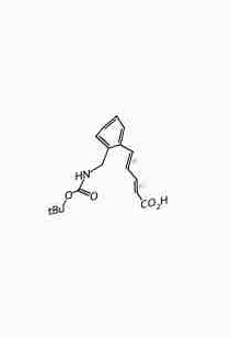 CC(C)(C)OC(=O)NCc1ccccc1/C=C/C=C/C(=O)O